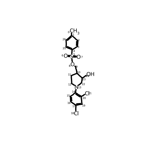 Cc1ccc(S(=O)(=O)OCC2CCN(c3ccc(Cl)cc3Cl)CC2O)cc1